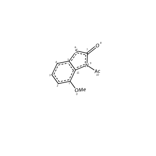 COc1cccc2sc(=O)n(C(C)=O)c12